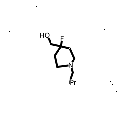 C[C](C)CN1CCC(F)(CO)CC1